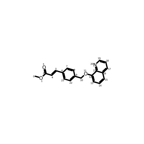 COC(=O)/C=C/c1ccc(COc2cccc3cccnc23)cc1